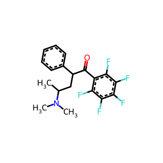 CC(CC(C(=O)c1c(F)c(F)c(F)c(F)c1F)c1ccccc1)N(C)C